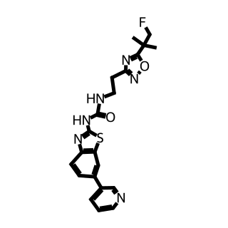 CC(C)(CF)c1nc(CCNC(=O)Nc2nc3ccc(-c4cccnc4)cc3s2)no1